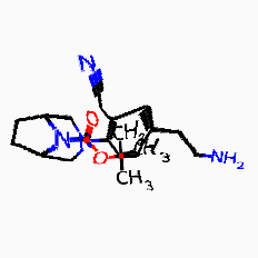 CC(C)(C)OC(=O)N1C2CCC1CN(c1ccc(CCN)cc1C#N)C2